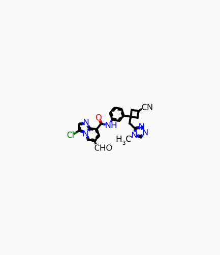 Cn1cnnc1CC1(c2cccc(NC(=O)c3cc(C=O)cn4c(Cl)cnc34)c2)CC(C#N)C1